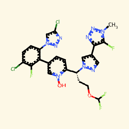 Cn1nnc(-c2cnn([C@H](CCOC(F)F)c3ccc(-c4c(-n5cc(Cl)nn5)ccc(Cl)c4F)c[n+]3O)c2)c1F